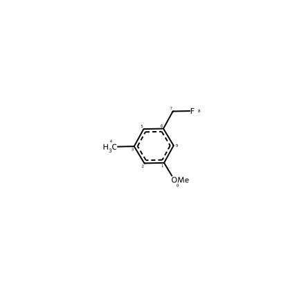 COc1cc(C)cc(CF)c1